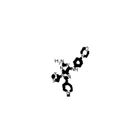 CN1CCC(c2nc3c(Nc4ccc(N5CCOCC5)cc4)nc(N)nc3n2-c2cscn2)CC1